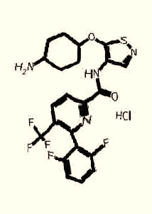 Cl.NC1CCC(Oc2sncc2NC(=O)c2ccc(C(F)(F)F)c(-c3c(F)cccc3F)n2)CC1